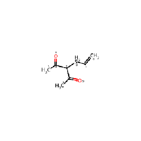 C=C[SiH2]C(C(C)=O)C(C)=O